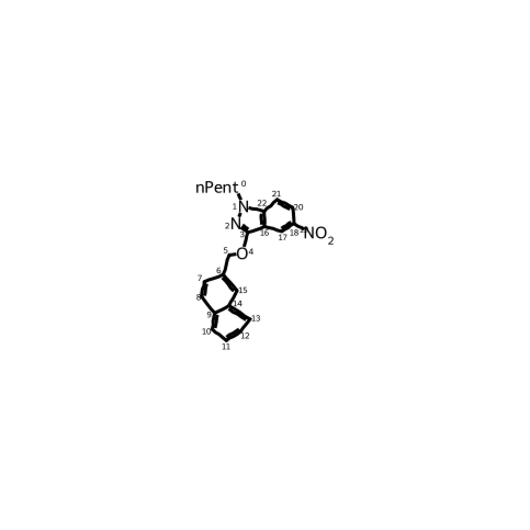 CCCCCn1nc(OCc2ccc3ccccc3c2)c2cc([N+](=O)[O-])ccc21